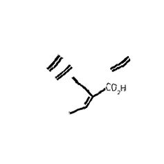 C=C.C=C.C=C.CC=C(C)C(=O)O